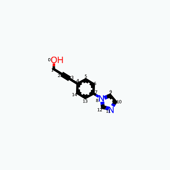 OCC#Cc1ccc(-n2ccnc2)cc1